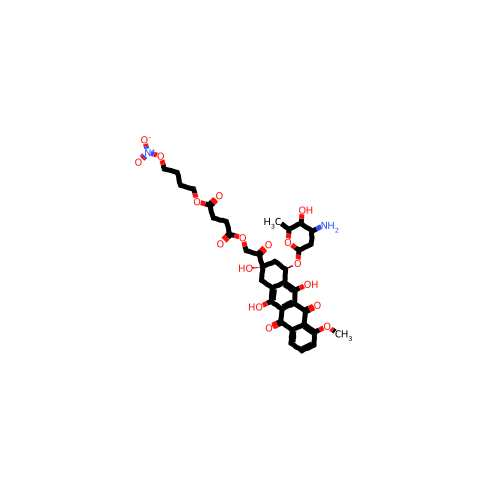 COc1cccc2c1C(=O)c1c(O)c3c(c(O)c1C2=O)C[C@@](O)(C(=O)COC(=O)CCC(=O)OCCCCO[N+](=O)[O-])C[C@@H]3OC1CC(N)C(O)C(C)O1